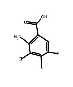 Nc1c(C(=O)O)cc(F)c(F)c1Cl